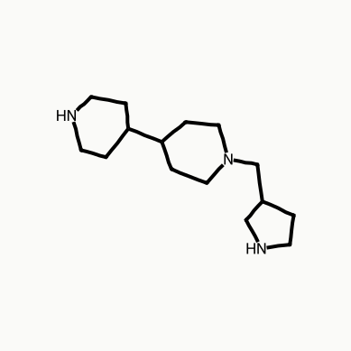 C1CC(C2CCN(CC3CCNC3)CC2)CCN1